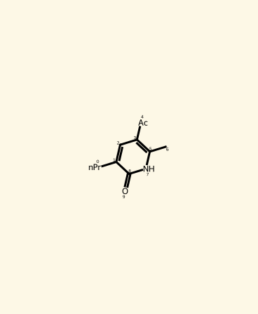 CCCc1cc(C(C)=O)c(C)[nH]c1=O